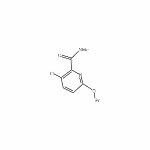 CNC(=O)c1nc(OC(C)C)ccc1Cl